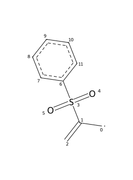 [CH2]C(=C)S(=O)(=O)c1ccccc1